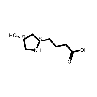 O=C(O)CCC[C@@H]1C[C@@H](O)CN1